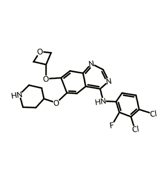 Fc1c(Nc2ncnc3cc(OC4COC4)c(OC4CCNCC4)cc23)ccc(Cl)c1Cl